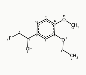 CCOc1cc(C(O)CF)ccc1OC